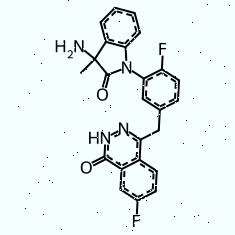 CC1(N)C(=O)N(c2cc(Cc3n[nH]c(=O)c4cc(F)ccc34)ccc2F)c2ccccc21